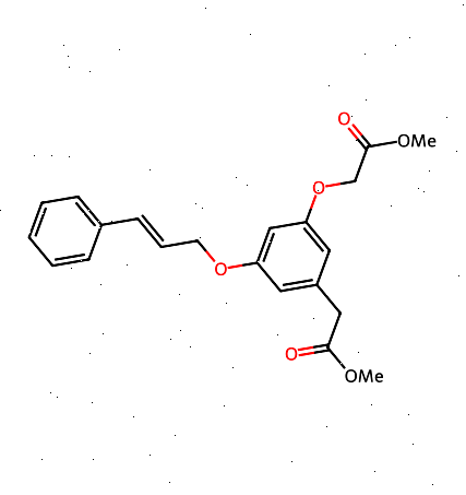 COC(=O)COc1cc(CC(=O)OC)cc(OCC=Cc2ccccc2)c1